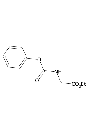 CCOC(=O)CNC(=O)Oc1ccccc1